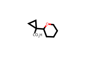 O=C(O)C1(C2CCCCO2)CC1